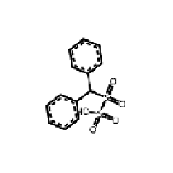 O=S(=O)(O)S(=O)(=O)C(c1ccccc1)c1ccccc1